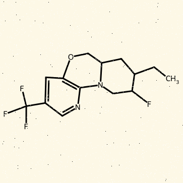 CCC1CC2COc3cc(C(F)(F)F)cnc3N2CC1F